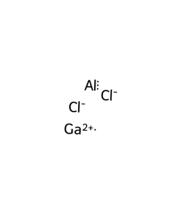 [Al].[Cl-].[Cl-].[Ga+2]